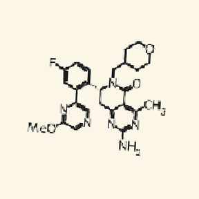 COc1cncc(-c2cc(F)ccc2[C@H]2Cc3nc(N)nc(C)c3C(=O)N2CC2CCOCC2)n1